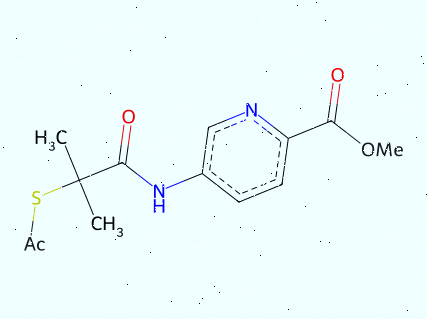 COC(=O)c1ccc(NC(=O)C(C)(C)SC(C)=O)cn1